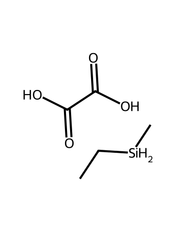 CC[SiH2]C.O=C(O)C(=O)O